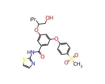 CC(C)C(CO)Oc1cc(Oc2ccc(S(C)(=O)=O)cc2)cc(C(=O)Nc2nccs2)c1